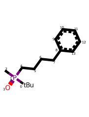 CC(C)(C)P(C)(=O)CCCCc1ccccc1